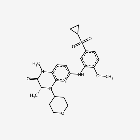 COc1ccc(S(=O)(=O)C2CC2)cc1Nc1ccc2c(n1)N(C1CCOCC1)[C@H](C)C(=O)N2C